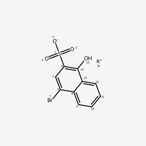 O=S(=O)([O-])c1cc(Br)c2ccccc2c1O.[K+]